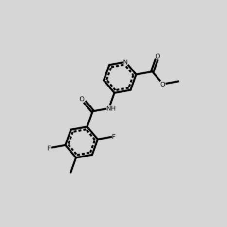 COC(=O)c1cc(NC(=O)c2cc(F)c(C)cc2F)ccn1